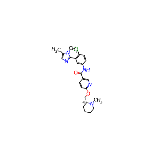 Cc1cnc(-c2cc(NC(=O)c3ccc(OC[C@H]4CCCCN4C)nc3)ccc2Cl)n1C